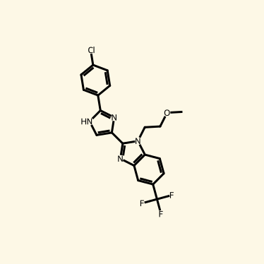 COCCn1c(-c2c[nH]c(-c3ccc(Cl)cc3)n2)nc2cc(C(F)(F)F)ccc21